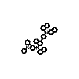 C1=CC2c3cc(N(c4cccc5ccccc45)c4ccc(-c5ccc(N(c6ccc7ccccc7c6)c6cccc7ccccc67)cc5)c5ccccc45)ccc3N(c3ccccc3)C2C=C1